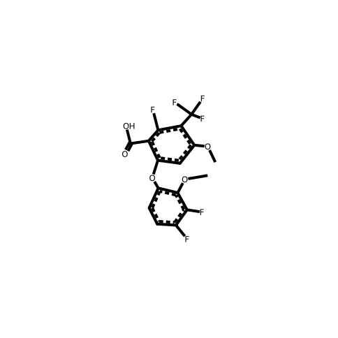 COc1cc(Oc2ccc(F)c(F)c2OC)c(C(=O)O)c(F)c1C(F)(F)F